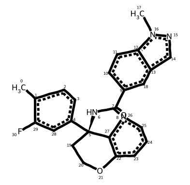 Cc1ccc([C@@]2(NC(=O)c3ccc4c(cnn4C)c3)CCOc3cccnc32)cc1F